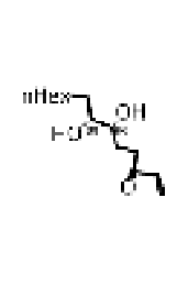 C=CC(=O)CC[C@@H](O)[C@H](O)CCCCCCC